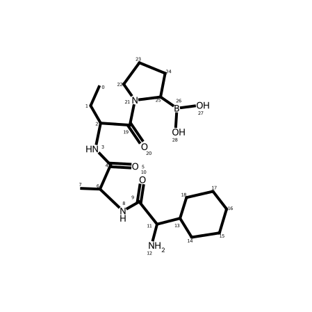 CCC(NC(=O)C(C)NC(=O)C(N)C1CCCCC1)C(=O)N1CCCC1B(O)O